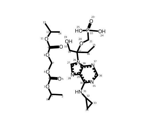 CC(C)OC(=O)OCOC(=O)OC(C)C.CCC(CO)(OCP(=O)(O)O)n1cnc2c(NC3CC3)ncnc21